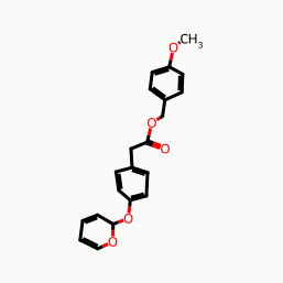 COc1ccc(COC(=O)Cc2ccc(OC3C=CC=CO3)cc2)cc1